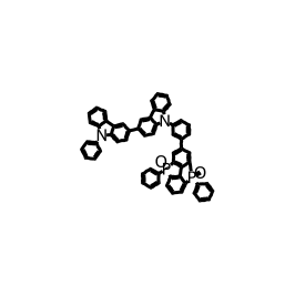 O=P1(c2ccccc2)c2cccc3c2-c2c1cc(-c1cccc(-n4c5ccccc5c5cc(-c6ccc7c(c6)c6ccccc6n7-c6ccccc6)ccc54)c1)cc2P3(=O)c1ccccc1